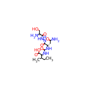 CCC(C)[C@H](NC(=O)N[C@@H](CC(N)=O)C(=O)NNC(=O)[C@@H](N)CO)C(=O)O